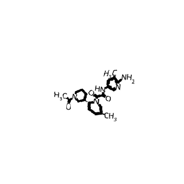 CC(=O)N1CCCC([C@H]2CC[C@H](C)CN2C(=O)C(=O)Nc2cnc(N)c(C)c2)C1